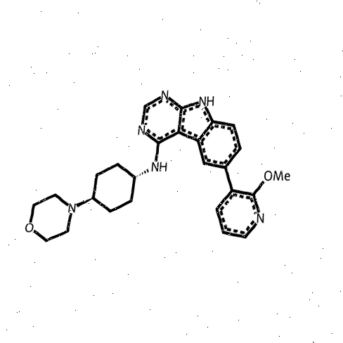 COc1ncccc1-c1ccc2[nH]c3ncnc(N[C@H]4CC[C@H](N5CCOCC5)CC4)c3c2c1